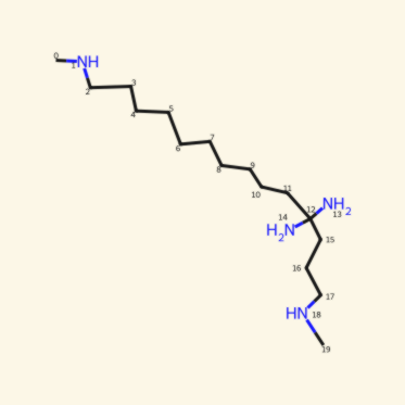 CNCCCCCCCCCCC(N)(N)CCCNC